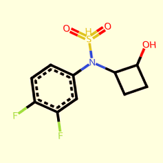 O=[SH](=O)N(c1ccc(F)c(F)c1)C1CCC1O